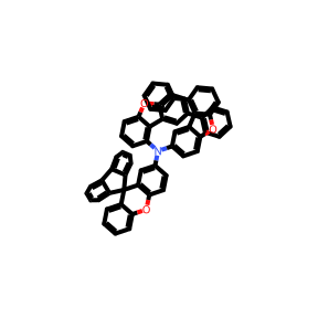 c1ccc(-c2ccc3oc4cccc(N(c5ccc6c(c5)C5(c7ccccc7O6)c6ccccc6-c6ccccc65)c5ccc6oc7cccc(-c8ccccc8)c7c6c5)c4c3c2)cc1